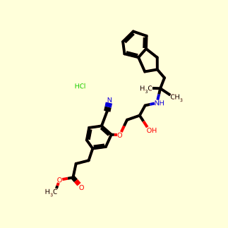 COC(=O)CCc1ccc(C#N)c(OCC(O)CNC(C)(C)CC2Cc3ccccc3C2)c1.Cl